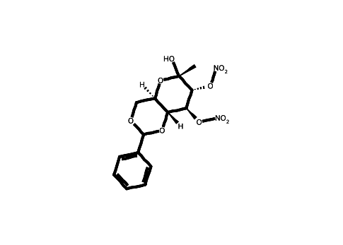 C[C@]1(O)O[C@@H]2COC(c3ccccc3)O[C@H]2[C@H](O[N+](=O)[O-])[C@H]1O[N+](=O)[O-]